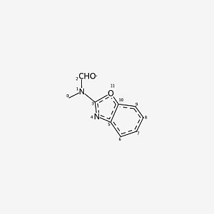 CN([C]=O)c1nc2ccccc2o1